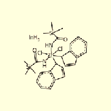 C[Si](C)(C)C(=O)[NH][Zr]([Cl])([Cl])([NH]C(=O)[Si](C)(C)C)([CH]1C=Cc2ccccc21)[CH]1C=Cc2ccccc21.[InH3]